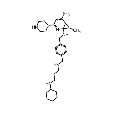 CC1C2C(N)=CC(N3CCNCC3)=NC12NCc1ccc(CNCCCNC2CCCCC2)cc1